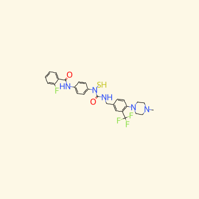 CN1CCN(c2ccc(CNC(=O)N(S)c3ccc(NC(=O)c4ccccc4F)cc3)cc2C(F)(F)F)CC1